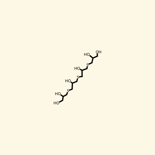 OCC(O)CSCC(O)CSCC(O)CSCC(O)CO